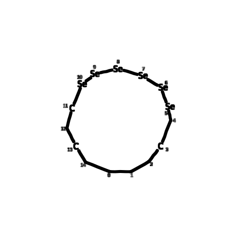 C1CCCC[Se][Se][Se][Se][Se][Se]CCCC1